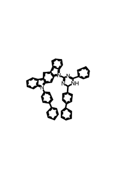 c1ccc(C2=NC(n3c4ccccc4c4cc5c6ccccc6n(-c6ccc(-c7ccccc7)cc6)c5cc43)=NC(c3ccc(-c4ccccc4)cc3)N2)cc1